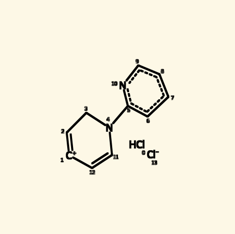 Cl.[C+]1=CCN(c2ccccn2)C=C1.[Cl-]